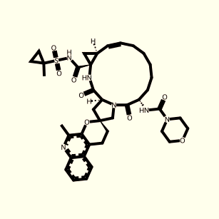 Cc1nc2ccccc2c2c1O[C@]1(CC2)C[C@H]2C(=O)N[C@]3(C(=O)NS(=O)(=O)C4(C)CC4)C[C@H]3/C=C\CCCCC[C@H](NC(=O)N3CCOCC3)C(=O)N2C1